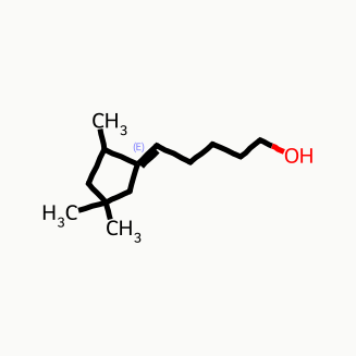 CC1CC(C)(C)C/C1=C\CCCCO